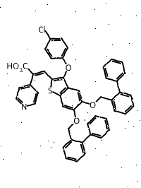 O=C(O)C(=Cc1sc2cc(OCc3ccccc3-c3ccccc3)c(OCc3ccccc3-c3ccccc3)cc2c1Oc1ccc(Cl)cc1)c1ccncc1